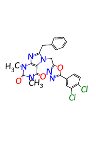 Cn1c(=O)c2c(nc(Cc3ccccc3)n2Cc2nnc(-c3ccc(Cl)c(Cl)c3)o2)n(C)c1=O